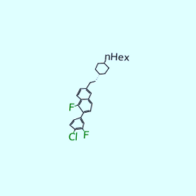 CCCCCC[C@H]1CC[C@H](CCc2ccc3c(F)c(-c4ccc(Cl)c(F)c4)ccc3c2)CC1